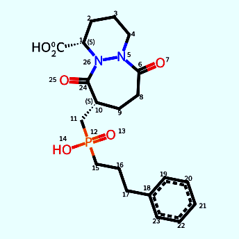 O=C(O)[C@@H]1CCCN2C(=O)CC[C@H](CP(=O)(O)CCCc3ccccc3)C(=O)N12